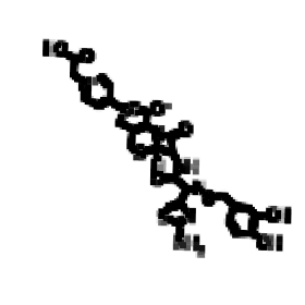 Nc1nc(C(=NOCc2ccc(O)c(O)c2)C(=O)NC2C(=O)N3C(C(=O)[O-])=C(CSc4cc[n+](CC(=O)O)cc4)CS[C@@H]23)cs1